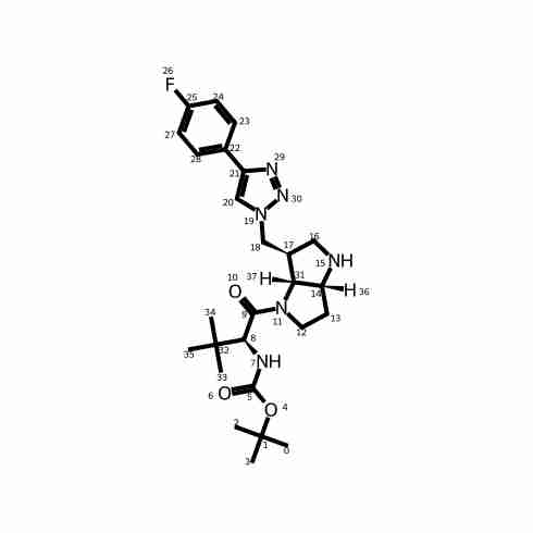 CC(C)(C)OC(=O)N[C@H](C(=O)N1CC[C@H]2NC[C@H](Cn3cc(-c4ccc(F)cc4)nn3)[C@H]21)C(C)(C)C